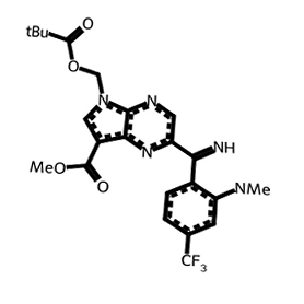 CNc1cc(C(F)(F)F)ccc1C(=N)c1cnc2c(n1)c(C(=O)OC)cn2COC(=O)C(C)(C)C